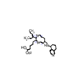 C=C/C=C(C=C)/C1=N/C=C/CC(CNC2CCCc3cnccc32)/C=C/N=C\1CCCCC(O)O